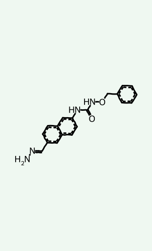 NN=Cc1ccc2cc(NC(=O)NOCc3ccccc3)ccc2c1